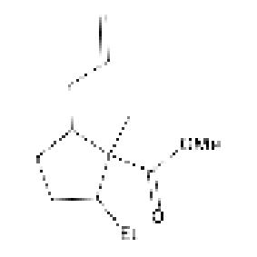 C=CCC1CCC(CC)C1(C)C(=O)OC